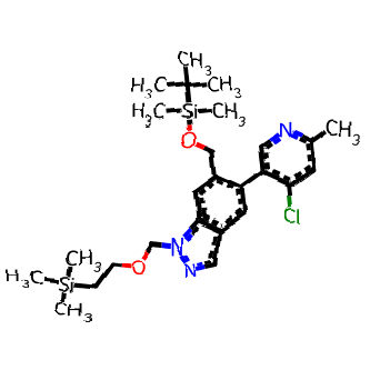 Cc1cc(Cl)c(-c2cc3cnn(COCC[Si](C)(C)C)c3cc2CO[Si](C)(C)C(C)(C)C)cn1